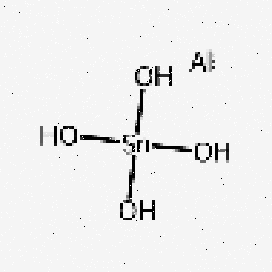 [Al].[OH][Sn]([OH])([OH])[OH]